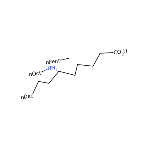 CCCCCC.CCCCCCCCCCCCCCCCCC(=O)O.CCCCCCCCN